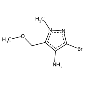 COCc1c(N)c(Br)nn1C